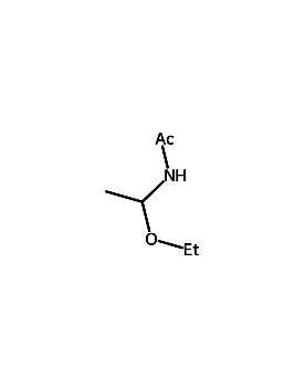 CCOC(C)NC(C)=O